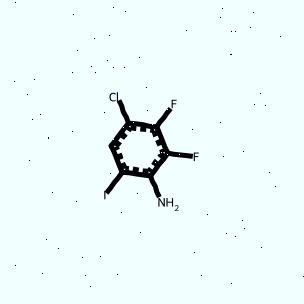 Nc1c(I)cc(Cl)c(F)c1F